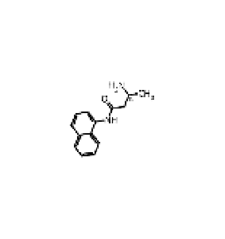 C[C@H](N)CC(=O)Nc1cccc2ccccc12